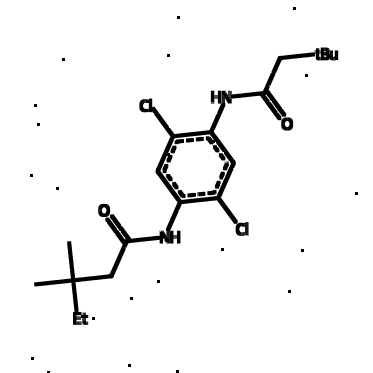 CCC(C)(C)CC(=O)Nc1cc(Cl)c(NC(=O)CC(C)(C)C)cc1Cl